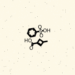 CC1C=C(C(=O)O)C1.O=S(=O)(O)c1ccccc1